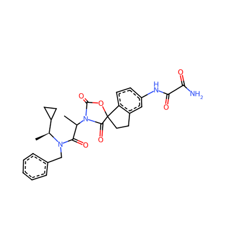 CC(C(=O)N(Cc1ccccc1)[C@@H](C)C1CC1)N1C(=O)OC2(CCc3cc(NC(=O)C(N)=O)ccc32)C1=O